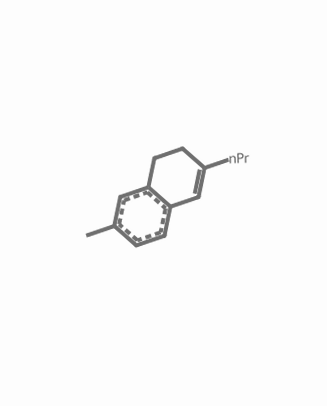 CCCC1=Cc2ccc(C)cc2CC1